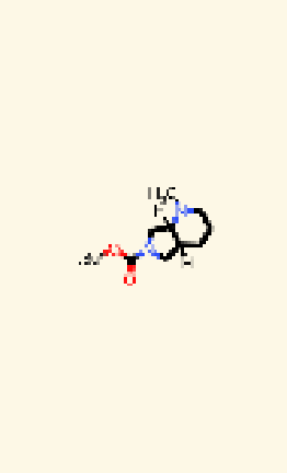 CN1CCC[C@@H]2CN(C(=O)OC(C)(C)C)C[C@@H]21